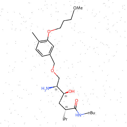 CCCCNC(=O)[C@@H](C[C@H](O)[C@@H](N)COCc1ccc(C)c(OCCCOC)c1)C(C)C